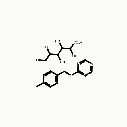 Cc1ccc(CNc2ncncn2)cc1.O=C(O)C(O)C(O)C(O)C(O)CO